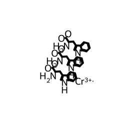 N[C@@H](Cc1c[nH]c2ccccc12)C(=O)[O-].N[C@@H](Cc1c[nH]c2ccccc12)C(=O)[O-].N[C@@H](Cc1c[nH]c2ccccc12)C(=O)[O-].[Cr+3]